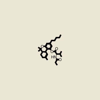 CCCCCc1cc(OC(=O)[C@@H](NC(=O)CC)C(C)C)c2c(c1)OC(C)(C)C1CCC(C)=CC21